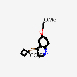 CCOC(=O)C1(Sc2ccnc3ccc(OCCOC)cc23)CCC1